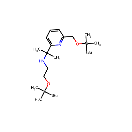 CC(C)(NCCO[Si](C)(C)C(C)(C)C)c1cccc(CO[Si](C)(C)C(C)(C)C)n1